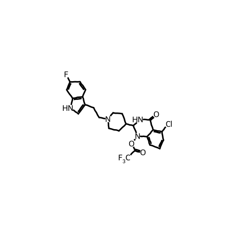 O=C1NC(C2CCN(CCc3c[nH]c4cc(F)ccc34)CC2)N(OC(=O)C(F)(F)F)c2cccc(Cl)c21